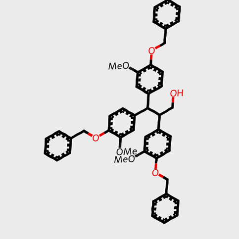 COc1cc(C(CO)C(c2ccc(OCc3ccccc3)c(OC)c2)c2ccc(OCc3ccccc3)c(OC)c2)ccc1OCc1ccccc1